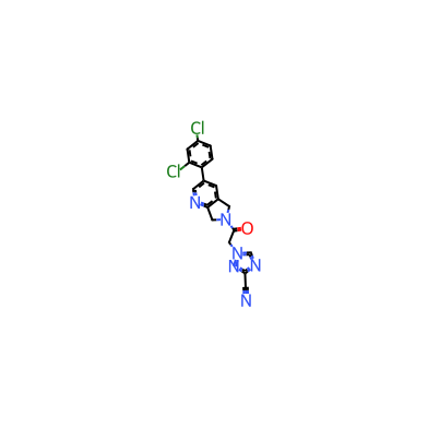 N#Cc1ncn(CC(=O)N2Cc3cc(-c4ccc(Cl)cc4Cl)cnc3C2)n1